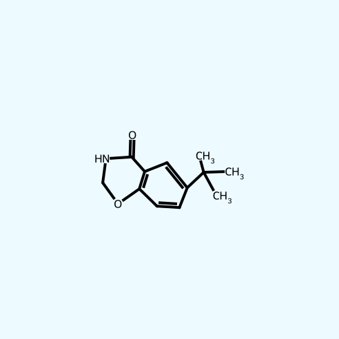 CC(C)(C)c1ccc2c(c1)C(=O)NCO2